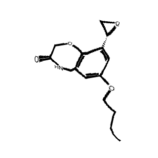 CCCCOc1cc2c(c([C@@H]3CO3)c1)OCC(=O)N2